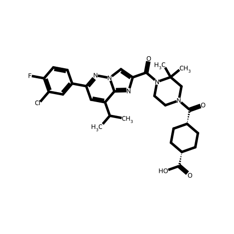 CC(C)c1cc(-c2ccc(F)c(Cl)c2)nn2cc(C(=O)N3CCN(C(=O)[C@H]4CC[C@@H](C(=O)O)CC4)CC3(C)C)nc12